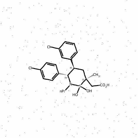 CCCN1[C@H](c2ccc(Cl)cc2)[C@@H](c2cccc(Cl)c2)C[C@@](C)(CC(=O)O)S1(O)O